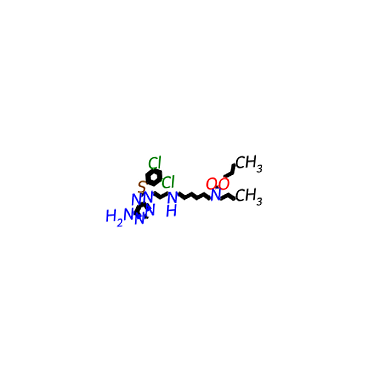 CCCCOC(=O)N(CCCC)CCCCCCNCCCn1c(Sc2cc(Cl)cc(Cl)c2)nc2c(N)ncnc21